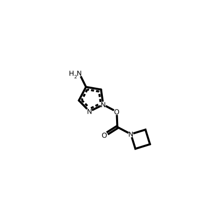 Nc1cnn(OC(=O)N2CCC2)c1